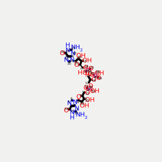 Nc1nc2c(ncn2C2OC(COP(=O)(O)OCC(COP(=O)(O)OC[C@H]3O[C@@H](n4cnc5c(=O)[nH]c(N)nc54)C(O)C3O)OP(=O)(O)O)[C@@H](O)[C@H]2O)c(=O)[nH]1